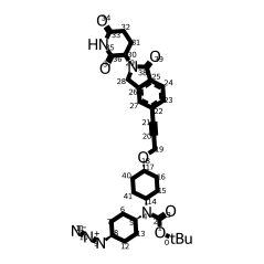 CC(C)(C)OC(=O)N([C@H]1CC[C@H](N=[N+]=[N-])CC1)[C@H]1CC[C@@H](OCC#Cc2ccc3c(c2)CN(C2CCC(=O)NC2=O)C3=O)CC1